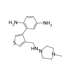 CN1CCN(NCc2cscc2-c2cc(N)ccc2N)CC1